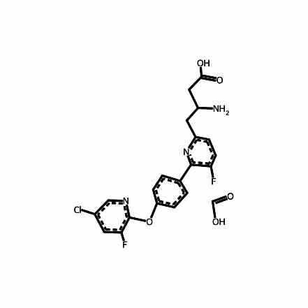 NC(CC(=O)O)Cc1ccc(F)c(-c2ccc(Oc3ncc(Cl)cc3F)cc2)n1.O=CO